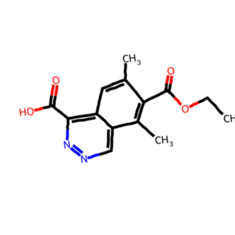 CCOC(=O)c1c(C)cc2c(C(=O)O)nncc2c1C